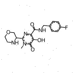 Cn1c(C2COCCN2)nc(C(=O)NCc2ccc(F)cc2)c(O)c1=O